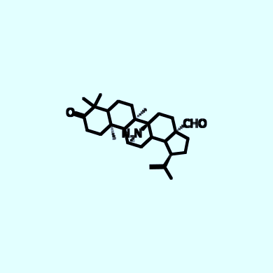 C=C(C)[C@@H]1CC[C@]2(C=O)CC[C@]3(N)C(CCC4[C@@]5(C)CCC(=O)C(C)(C)C5CC[C@]43C)C12